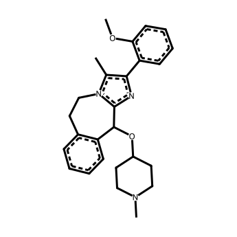 COc1ccccc1-c1nc2n(c1C)CCc1ccccc1C2OC1CCN(C)CC1